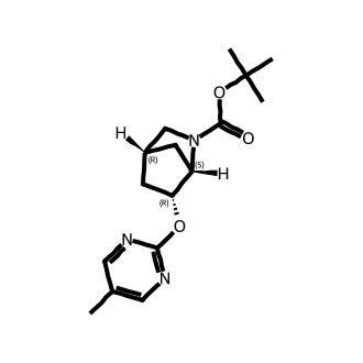 Cc1cnc(O[C@@H]2C[C@H]3C[C@@H]2N(C(=O)OC(C)(C)C)C3)nc1